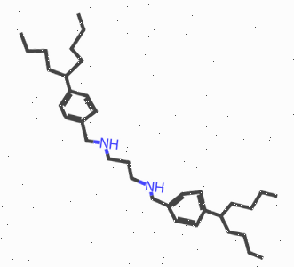 CCCCC(CCCC)c1ccc(CNCCCNCc2ccc(C(CCCC)CCCC)cc2)cc1